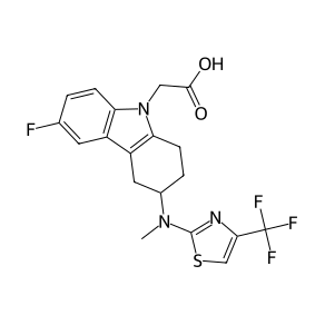 CN(c1nc(C(F)(F)F)cs1)C1CCc2c(c3cc(F)ccc3n2CC(=O)O)C1